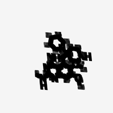 CNc1nc(N)c2c(CC3(N4CCCCC4)CCNCC3)c(OC)c(OC)cc2n1